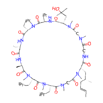 C/C=C/C[C@@H](C)C[C@H]1C(=O)NCC(=O)N(C)CC(=O)N(C)[C@@H](CC(C)(C)O)C(=O)NC(C(C)C)C(=O)N(C)[C@@H](CC(C)C)C(=O)N[C@@H](C)C(=O)N[C@H](C)C(=O)N(C)[C@@H](CC(C)C)C(=O)N(C)[C@@H](CC(C)C)C(=O)N(C)CC(=O)N1C